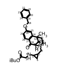 CC(C)COC(=O)CNC1CC1CN1CC[C@@]2(C)c3cc(OCc4ccccc4)ccc3C(=O)[C@@H]1[C@@H]2C